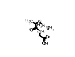 CC(SN)C(=O)NCC(=O)O.N